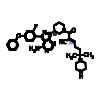 CC(C)(CC/C=C(\C#N)C(=O)N1CCC[C@@H](n2nc(-c3ccc(Oc4ccccc4)cc3F)c3c(N)ncnc32)C1)N1CCNCC1